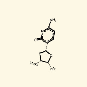 CCC[C@H]1O[C@@H](n2ccc(N)nc2=O)C[C@H]1OC